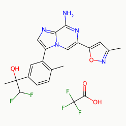 Cc1cc(-c2cn3c(-c4cc(C(C)(O)C(F)F)ccc4C)cnc3c(N)n2)on1.O=C(O)C(F)(F)F